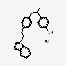 CC(Oc1ccc(CCn2cnc3ccccc32)cc1)c1ccc(O)cc1.Cl